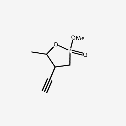 C#CC1CP(=O)(OC)OC1C